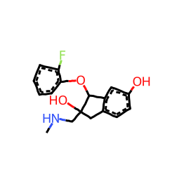 CNCC1(O)Cc2ccc(O)cc2C1Oc1ccccc1F